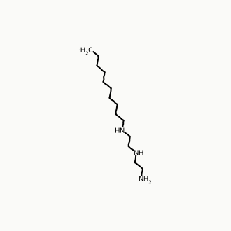 [CH2]CCCCCCCCCNCCNCCN